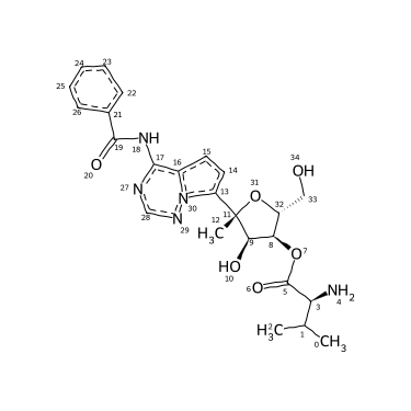 CC(C)[C@H](N)C(=O)O[C@H]1[C@@H](O)[C@](C)(c2ccc3c(NC(=O)c4ccccc4)ncnn23)O[C@@H]1CO